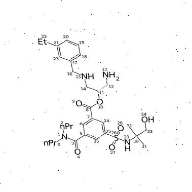 CCCN(CCC)C(=O)c1cc(C(=O)O[C@@H](CN)CNCc2cccc(CC)c2)cc(S(=O)(=O)NC(C)(C)CO)c1